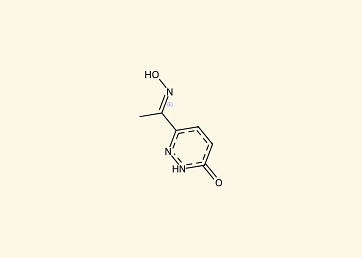 C/C(=N\O)c1ccc(=O)[nH]n1